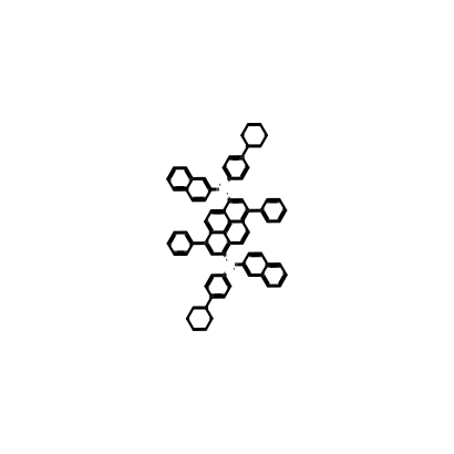 c1ccc(-c2cc(N(c3ccc(C4CCCCC4)cc3)c3ccc4ccccc4c3)c3ccc4c(-c5ccccc5)cc(N(c5ccc(C6CCCCC6)cc5)c5ccc6ccccc6c5)c5ccc2c3c45)cc1